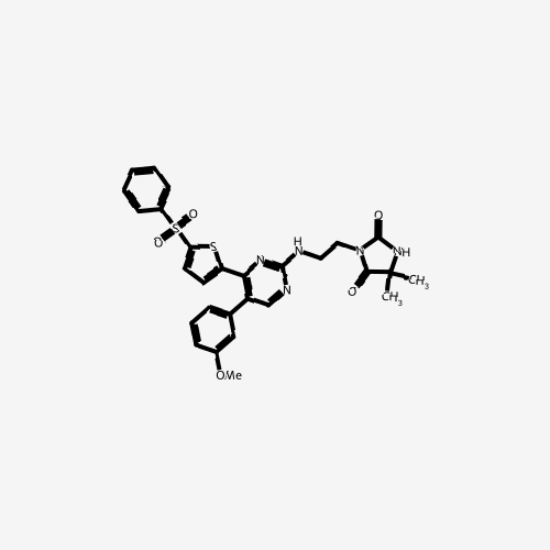 COc1cccc(-c2cnc(NCCN3C(=O)NC(C)(C)C3=O)nc2-c2ccc(S(=O)(=O)c3ccccc3)s2)c1